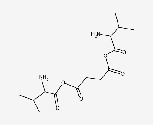 CC(C)C(N)C(=O)OC(=O)CCC(=O)OC(=O)C(N)C(C)C